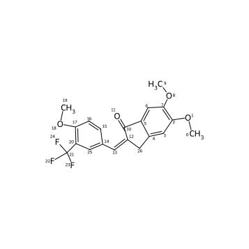 COc1cc2c(cc1OC)C(=O)C(=Cc1ccc(OC)c(C(F)(F)F)c1)C2